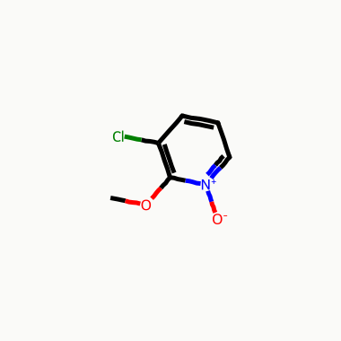 COc1c(Cl)ccc[n+]1[O-]